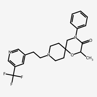 CC1OC2(CCN(CCc3cncc(C(F)(F)F)c3)CC2)CN(c2ccccc2)C1=O